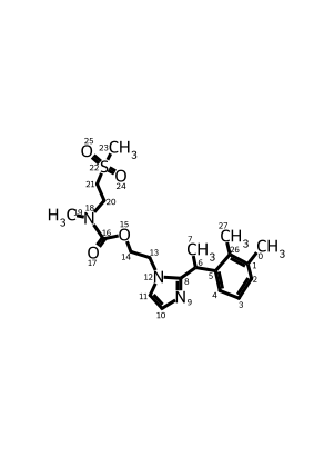 Cc1cccc(C(C)c2nccn2CCOC(=O)N(C)CCS(C)(=O)=O)c1C